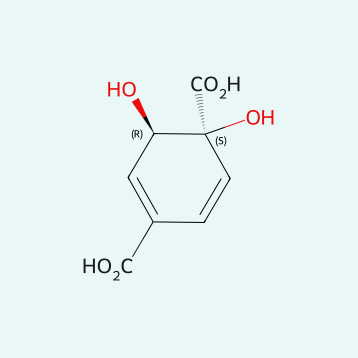 O=C(O)C1=C[C@@H](O)[C@](O)(C(=O)O)C=C1